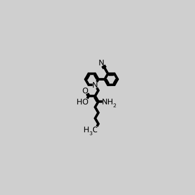 CCCCCC(N)=C(CN1CC=CC=C1c1ccccc1C#N)C(=O)O